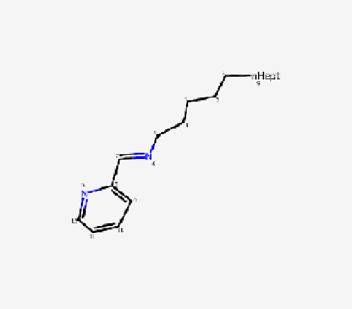 CCCCCCCCCCCCN=Cc1ccccn1